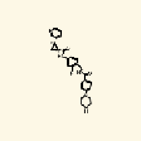 O=C(NCc1ccc(NC(=O)[C@H]2C[C@@H]2c2cccnc2)cc1F)c1ccc(N2CCNCC2)cc1